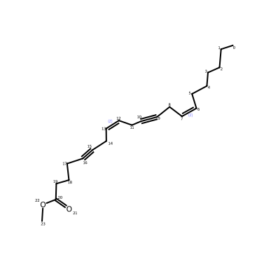 CCCCCC/C=C\CC#CC/C=C\CC#CCCCC(=O)OC